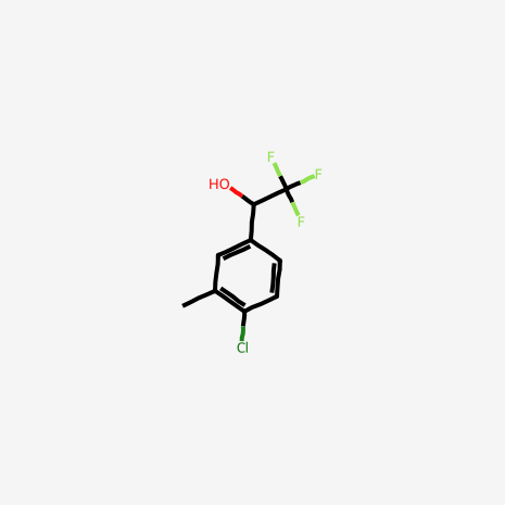 Cc1cc(C(O)C(F)(F)F)ccc1Cl